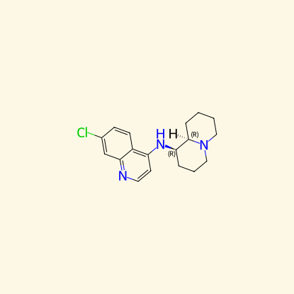 Clc1ccc2c(N[C@@H]3CCCN4CCCC[C@H]34)ccnc2c1